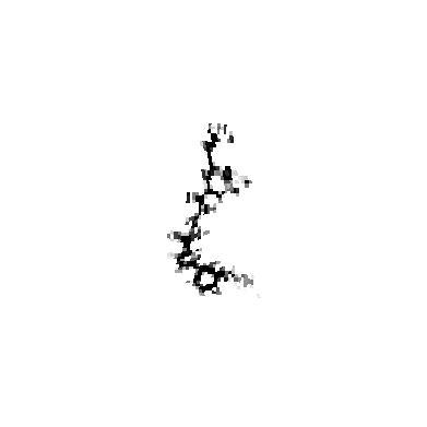 CCCCCC(CN(O)C=O)C(=O)NCNC(=O)c1ccc(-c2cccc(SC)c2)o1